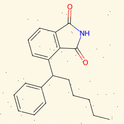 CCCCCC(c1ccccc1)c1cccc2c1C(=O)NC2=O